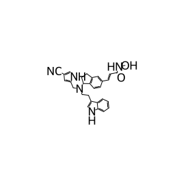 N#Cc1c[nH]c(CN(CCc2c[nH]c3ccccc23)C2CCc3cc(/C=C/C(=O)NO)ccc32)c1